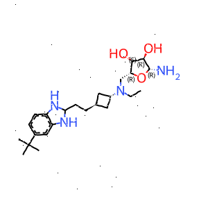 CCN(C[C@H]1O[C@@H](N)[C@H](O)[C@@H]1O)[C@H]1C[C@H](CCC2Nc3ccc(C(C)(C)C)cc3N2)C1